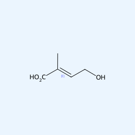 C/C(=C\CO)C(=O)O